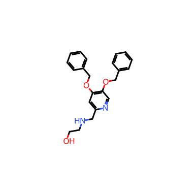 OCCNCc1cc(OCc2ccccc2)c(OCc2ccccc2)cn1